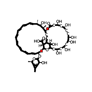 CC1C2[C@H]1[C@H](O)C(O[C@H]1/C=C/C=C/C=C/C=C/C=C/C=C/C=C/C=C/[C@H](C)[C@@H](O)[C@@H](C)[C@@H]3CC[C@@H]4[C@@H](C(=O)O)[C@H](C1)OC(C[C@@H](O)C[C@@H](O)C[C@@H](O)[C@H](O)CC[C@@H](O)C[C@@H](O)CC(=O)O3)[C@H]4O)O[C@@H]2C